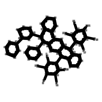 Fc1c(F)c(F)c(-c2c3ccccc3c(-c3c(F)c(F)c(F)c(F)c3F)c3cc4c(cc23)c(-c2ccccc2)c(-c2cccc(-c3ccccc3)c2)c2ccccc24)c(F)c1F